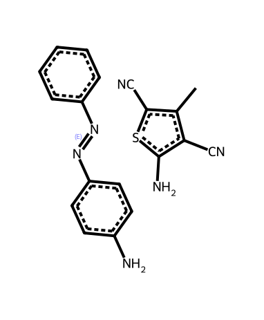 Cc1c(C#N)sc(N)c1C#N.Nc1ccc(/N=N/c2ccccc2)cc1